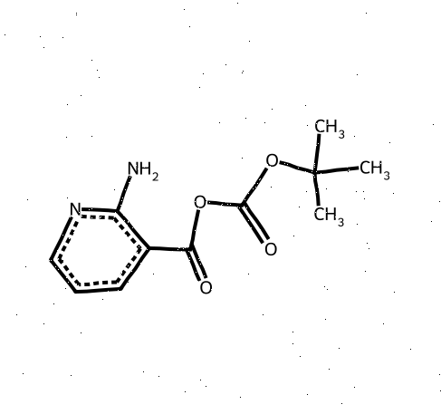 CC(C)(C)OC(=O)OC(=O)c1cccnc1N